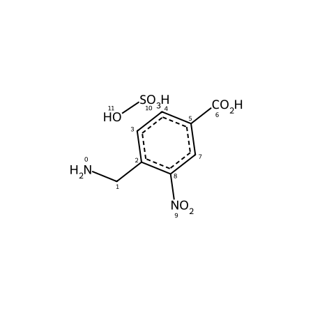 NCc1ccc(C(=O)O)cc1[N+](=O)[O-].O=S(=O)(O)O